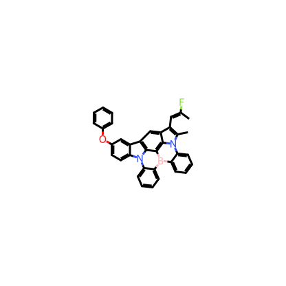 C/C(F)=C\c1c(C)n2c3c4c5c(cc13)c1cc(Oc3ccccc3)ccc1n5-c1ccccc1B4c1ccccc1-2